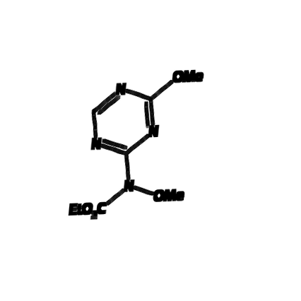 CCOC(=O)N(OC)c1ncnc(OC)n1